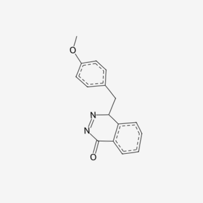 COc1ccc(CC2N=NC(=O)c3ccccc32)cc1